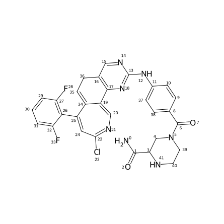 NC(=O)C1CN(C(=O)c2ccc(Nc3ncc4c(n3)C3=CN=C(Cl)C=C(c5c(F)cccc5F)C3=CC4)cc2)CCN1